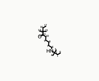 CCC(C)(C)NCCCCCC(=O)C(C)(C)CC